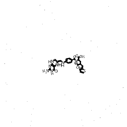 Nc1nc2c(c(=O)[nH]1)NC(CNc1ccc(C(=O)NC(CC(Cc3cccs3)C(=O)O)C(=O)O)cc1)CN2